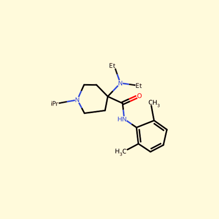 CCN(CC)C1(C(=O)Nc2c(C)cccc2C)CCN(C(C)C)CC1